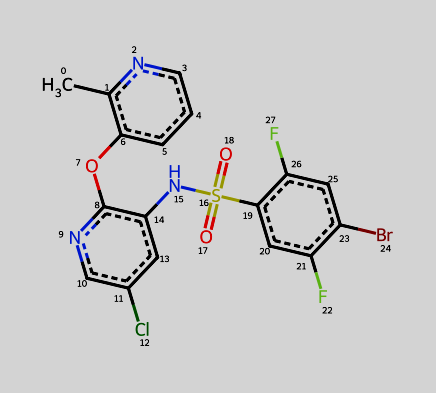 Cc1ncccc1Oc1ncc(Cl)cc1NS(=O)(=O)c1cc(F)c(Br)cc1F